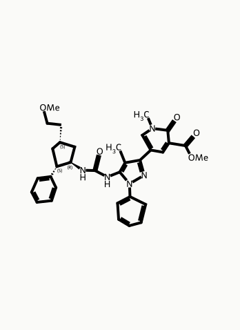 COCC[C@@H]1C[C@@H](NC(=O)Nc2c(C)c(-c3cc(C(=O)OC)c(=O)n(C)c3)nn2-c2ccccc2)[C@H](c2ccccc2)C1